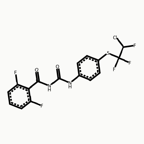 O=C(NC(=O)c1c(F)cccc1F)Nc1ccc(SC(F)(F)C(F)Cl)cc1